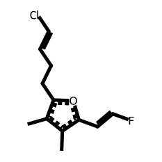 Cc1c(/C=C/F)oc(CC/C=C/Cl)c1C